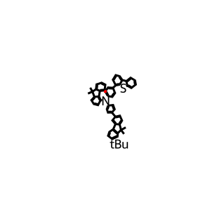 CC(C)(C)c1ccc2c(c1)C(C)(C)c1ccc(-c3ccc(N(c4ccc(-c5cccc6c5sc5ccccc56)cc4)c4cccc5c4-c4ccccc4C5(C)C)cc3)cc1-2